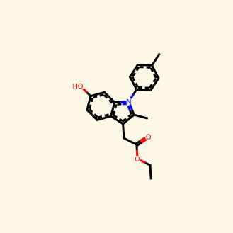 CCOC(=O)Cc1c(C)n(-c2ccc(C)cc2)c2cc(O)ccc12